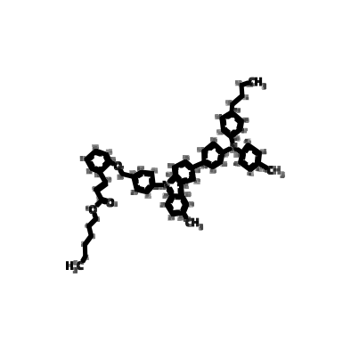 CCCCCCOC(=O)C=Cc1ccccc1OCc1ccc(-n2c3ccc(C)cc3c3cc(-c4ccc(N(c5ccc(C)cc5)c5ccc(CCCC)cc5)cc4)ccc32)cc1